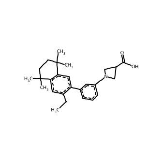 CCc1cc2c(cc1-c1cccc(N3CC(C(=O)O)C3)c1)C(C)(C)CCC2(C)C